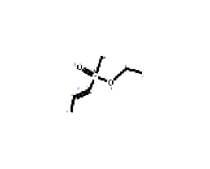 C/C=C/P(C)(=O)OCC